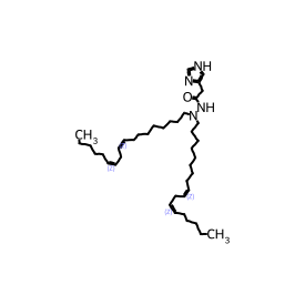 CCCCC/C=C\C/C=C\CCCCCCCCN(CCCCCCCC/C=C\C/C=C\CCCCC)NC(=O)Cc1c[nH]cn1